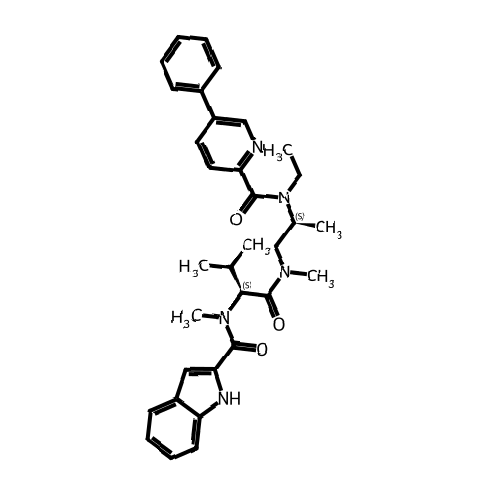 CCN(C(=O)c1ccc(-c2ccccc2)cn1)[C@@H](C)CN(C)C(=O)[C@H](C(C)C)N(C)C(=O)c1cc2ccccc2[nH]1